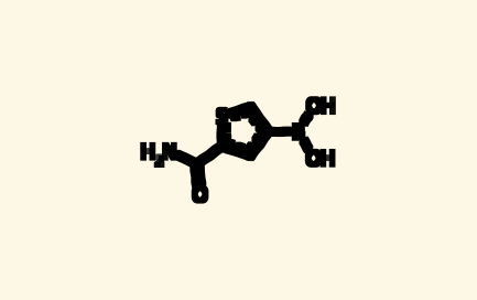 NC(=O)c1cc(B(O)O)cs1